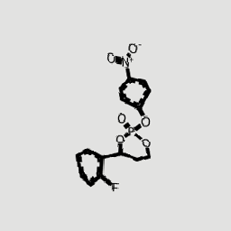 O=[N+]([O-])c1ccc(OP2(=O)OCCC(c3ccccc3F)O2)cc1